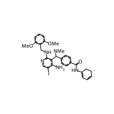 CNC(c1ccc(C(=O)NC2=CC=CCC2)cc1)c1c(NCc2c(OC)cccc2OC)ncc(I)c1N